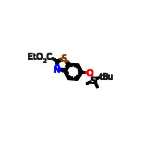 CCOC(=O)c1nc2ccc(O[Si](C)(C)C(C)(C)C)cc2s1